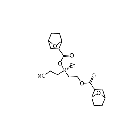 [CH2]C[N+](CCC#N)(CCOC(=O)C1CC2CCC1O2)OC(=O)C1CC2CCC1O2